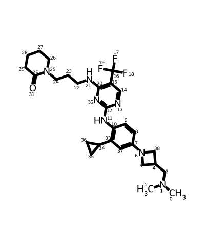 CN(C)CC1CN(c2ccc(Nc3ncc(C(F)(F)F)c(NCCCN4CCCCC4=O)n3)c(C3CC3)c2)C1